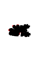 CC(C)CCCC(C)CCCC(C)CCCC(C)CCOCC(COC1OC(COC(=O)c2ccccc2)C(OC2OC(CO)C(O)C(OC(=O)c3ccccc3)C2OC(=O)c2ccccc2)C(OC(=O)c2ccccc2)C1OC(=O)c1ccccc1)OCCC(C)CCCC(C)CCCC(C)CCCC(C)C